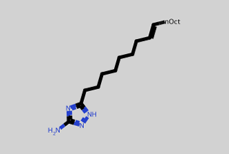 CCCCCCCCC=CCCCCCCCc1nc(N)n[nH]1